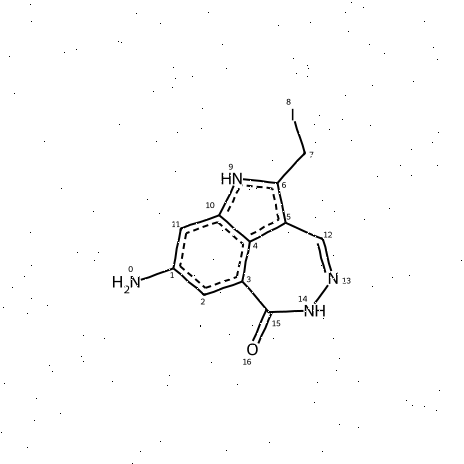 Nc1cc2c3c(c(CI)[nH]c3c1)C=NNC2=O